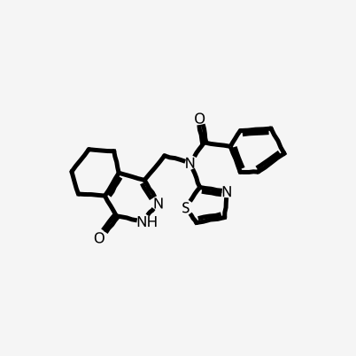 O=C(c1ccccc1)N(Cc1n[nH]c(=O)c2c1CCCC2)c1nccs1